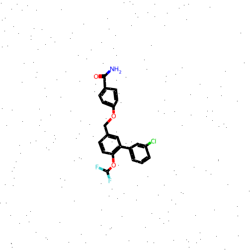 NC(=O)c1ccc(OCc2ccc(OC(F)F)c(-c3cccc(Cl)c3)c2)cc1